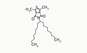 CCCCCCCCC(CCCCCCCC)N1C(=O)c2c(C)sc(C)c2C1=O